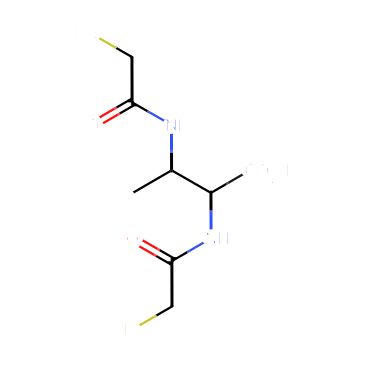 CC(NC(=O)CS)C(NC(=O)CS)C(=O)O